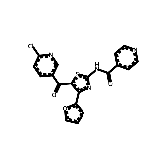 O=C(Nc1nc(-c2ccco2)c(C(=O)c2ccc(Cl)nc2)s1)c1ccncc1